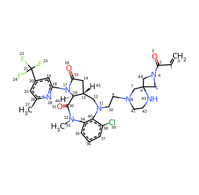 C=CC(=O)N1CC2(CN(CCN3C[C@H]4CC(=O)N(c5cc(C(F)(F)F)cc(C)n5)[C@@H]4C(=O)N(C)c4cccc(Cl)c43)CCN2)C1